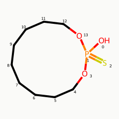 OP1(=S)OCCCCCCCCCO1